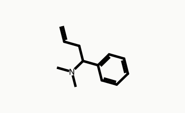 C=CCC(c1ccccc1)N(C)C